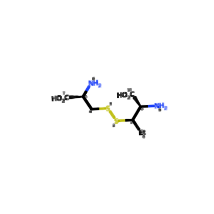 CCC(SSC[C@H](N)C(=O)O)[C@H](N)C(=O)O